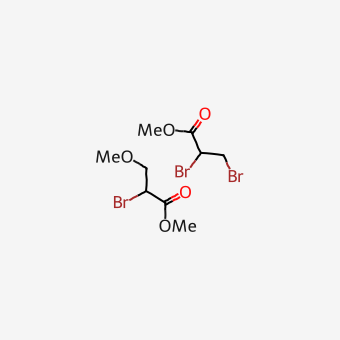 COC(=O)C(Br)CBr.COCC(Br)C(=O)OC